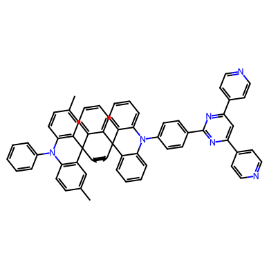 Cc1ccc2c(c1)C1(c3cc(C)ccc3N2c2ccccc2)c2ccccc2C2(c3ccccc3N(c3ccc(-c4nc(-c5ccncc5)cc(-c5ccncc5)n4)cc3)c3ccccc32)c2ccccc21